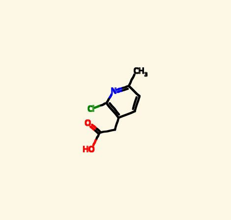 Cc1ccc(CC(=O)O)c(Cl)n1